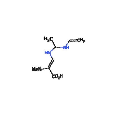 C=CNC(C)N/C=C(\NC)C(=O)O